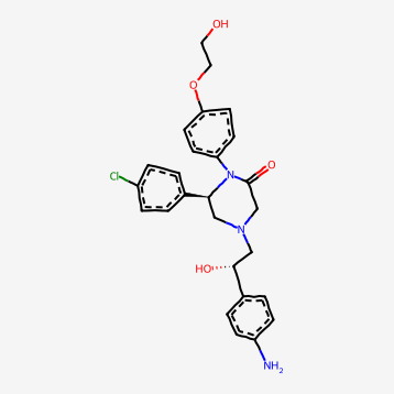 Nc1ccc([C@H](O)CN2CC(=O)N(c3ccc(OCCO)cc3)[C@H](c3ccc(Cl)cc3)C2)cc1